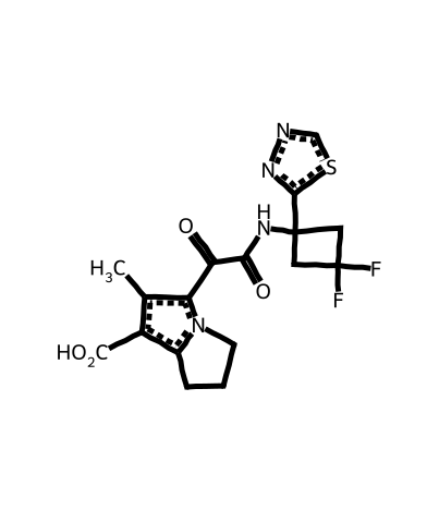 Cc1c(C(=O)O)c2n(c1C(=O)C(=O)NC1(c3nncs3)CC(F)(F)C1)CCC2